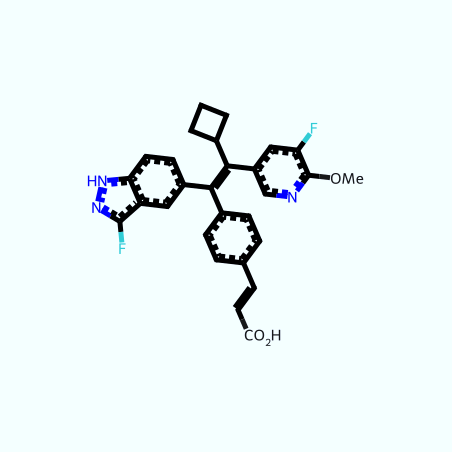 COc1ncc(/C(=C(\c2ccc(/C=C/C(=O)O)cc2)c2ccc3[nH]nc(F)c3c2)C2CCC2)cc1F